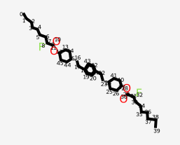 CCCCCCC[C@@H](F)C(=O)O[C@H]1CC[C@H](CCc2ccc(CC[C@H]3CC[C@H](OC(=O)[C@H](F)CCCCCCC)CC3)cc2)CC1